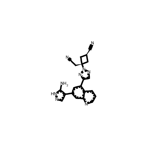 N#CC[C@]1(n2ncc(-c3cc(-c4cn[nH]c4N)cc4ncccc34)n2)C[C@H](C#N)C1